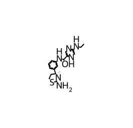 CCNc1cnc(C(O)Nc2cccc([C@]3(C)CCSC(N)=N3)c2)cn1